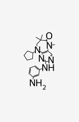 CN1C(=O)C(C)(C)CN(C2CCCC2)c2nc(Nc3cccc(N)c3)ncc21